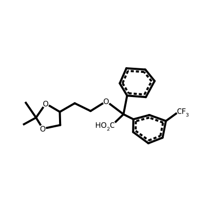 CC1(C)OCC(CCOC(C(=O)O)(c2ccccc2)c2cccc(C(F)(F)F)c2)O1